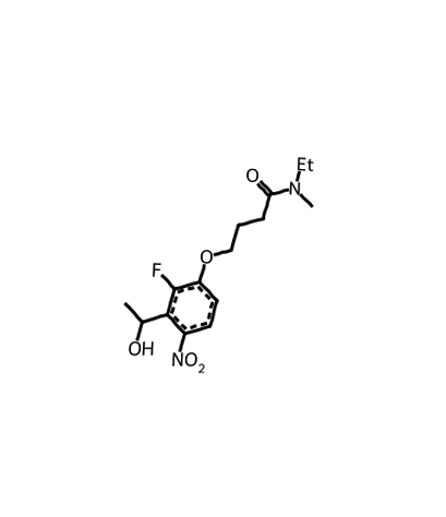 CCN(C)C(=O)CCCOc1ccc([N+](=O)[O-])c(C(C)O)c1F